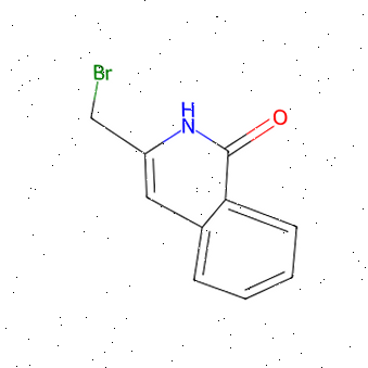 O=c1[nH]c(CBr)cc2ccccc12